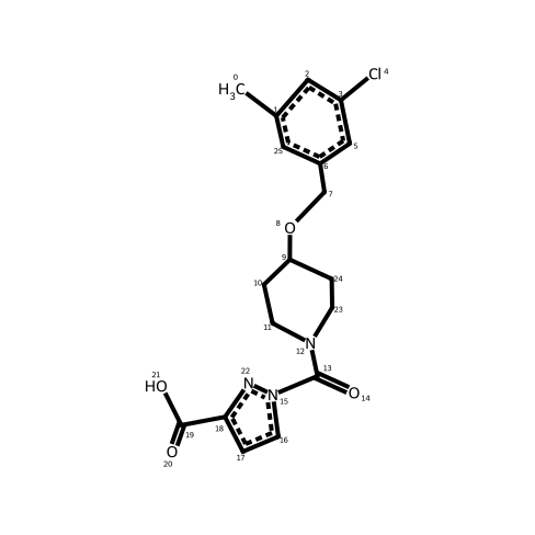 Cc1cc(Cl)cc(COC2CCN(C(=O)n3ccc(C(=O)O)n3)CC2)c1